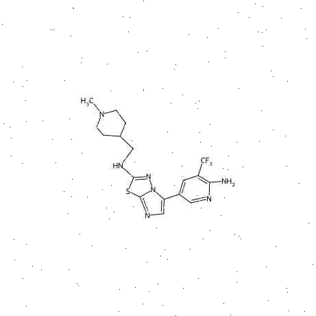 CN1CCC(CNc2nn3c(-c4cnc(N)c(C(F)(F)F)c4)cnc3s2)CC1